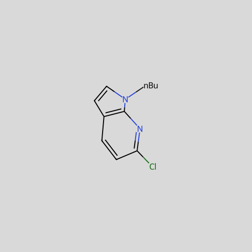 CCCCn1ccc2ccc(Cl)nc21